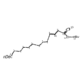 CCCCCCCCCCCCCCCCCCCCCC(=O)OC(C)(C)C